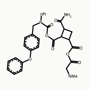 CCCN(Cc1ccc(Oc2ccccc2)cc1)C(=O)OC(=O)C1C(C(N)=O)CC1C(=O)OC(=O)CNC